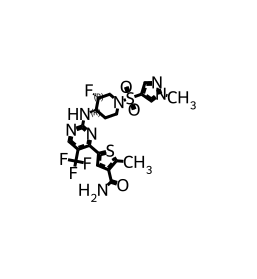 Cc1sc(-c2nc(N[C@@H]3CCN(S(=O)(=O)c4cnn(C)c4)C[C@H]3F)ncc2C(F)(F)F)cc1C(N)=O